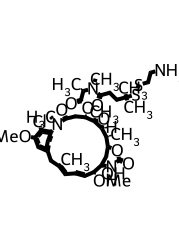 COc1cc2cc(c1Cl)N(C)C(=O)C[C@H](OC(=O)[C@H](C)N(C)C(=O)CCC(C)(C)SSCCN)[C@]1(C)O[C@H]1[C@H](C)C1C[C@@](O)(NC(=O)O1)[C@H](OC)/C=C/C=C(\C)C2